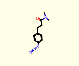 CN(C)C(=O)CCc1ccc(N=[N+]=[N-])cc1